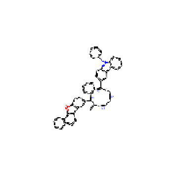 C=C1/C=C\C=C/C/C(c2ccc3c(c2)c2ccccc2n3-c2ccccc2)=c2/cccc/c2=C/1c1ccc2oc3c4ccccc4ccc3c2c1